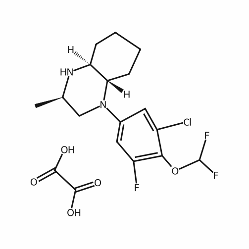 C[C@@H]1CN(c2cc(F)c(OC(F)F)c(Cl)c2)[C@H]2CCCC[C@@H]2N1.O=C(O)C(=O)O